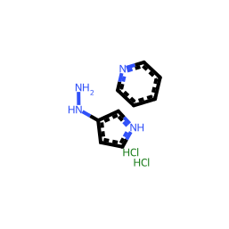 Cl.Cl.NNc1cc[nH]c1.c1ccncc1